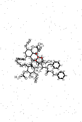 CCC1OC(OC2C(OC(C)=O)C(N=[N+]=[N-])CC(N=[N+]=[N-])C2OC2OC(C(C)N(Cc3ccccc3)C(=O)OCc3ccccc3)CCC2N=[N+]=[N-])C(OC(C)=O)C1OC1OC(CN=[N+]=[N-])C(OC(C)=O)C(C)C1N=[N+]=[N-]